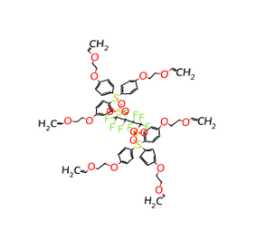 C=COCCOc1ccc(S(OS(=O)(=O)C(F)(F)C(F)(F)C(F)(F)C(F)(F)S(=O)(=O)OS(c2ccc(OCCOC=C)cc2)(c2ccc(OCCOC=C)cc2)c2ccc(OCCOC=C)cc2)(c2ccc(OCCOC=C)cc2)c2ccc(OCCOC=C)cc2)cc1